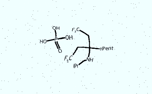 CCCCCC(CC(F)(F)F)(CC(F)(F)F)NC(C)C.O=P(O)(O)O